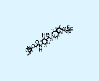 Cc1cc(OCC(=O)NC2CCC(C(O)CN3CCc4ccc(OCC(F)(F)F)nc4CC3)CC2)no1